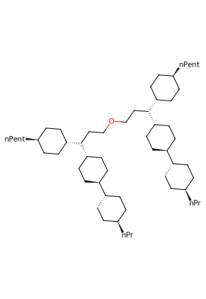 CCCCC[C@H]1CC[C@H](C(CCOCCC([C@H]2CC[C@H](CCCCC)CC2)[C@H]2CC[C@H]([C@H]3CC[C@H](CCC)CC3)CC2)[C@H]2CC[C@H]([C@H]3CC[C@H](CCC)CC3)CC2)CC1